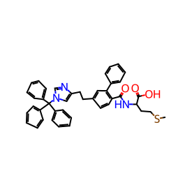 CSCCC(NC(=O)c1ccc(CCc2cn(C(c3ccccc3)(c3ccccc3)c3ccccc3)cn2)cc1-c1ccccc1)C(=O)O